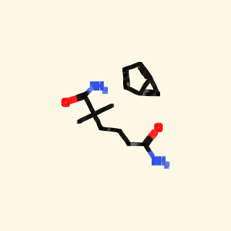 CC(C)(CCCC(N)=O)C(N)=O.c1cc2cc-2c1